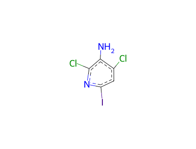 Nc1c(Cl)cc(I)nc1Cl